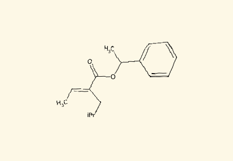 CC=C(CC(C)C)C(=O)OC(C)c1ccccc1